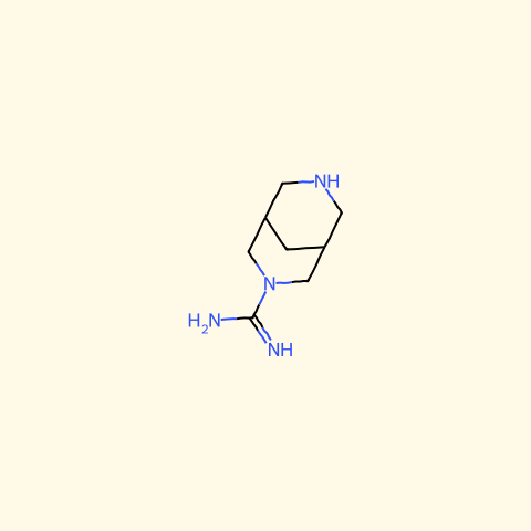 N=C(N)N1CC2CNCC(C2)C1